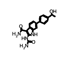 CC(O)c1ccc(-c2ccc3c(C(N)=O)c(NC(N)=O)[nH]c3c2)cc1